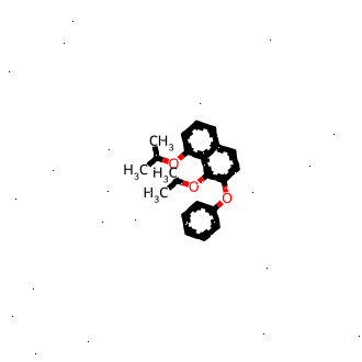 CC(C)Oc1cccc2ccc(Oc3ccccc3)c(OC(C)C)c12